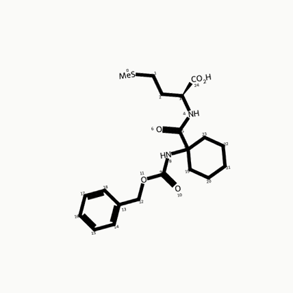 CSCC[C@H](NC(=O)C1(NC(=O)OCc2ccccc2)CCCCC1)C(=O)O